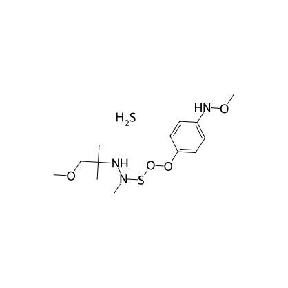 COCC(C)(C)NN(C)SOOc1ccc(NOC)cc1.S